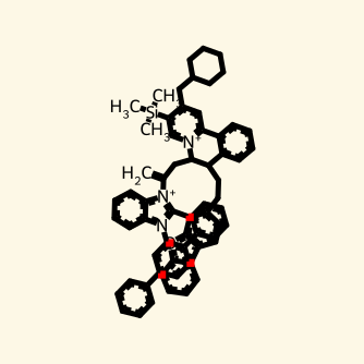 C=C1CC2C(CCc3ccc4c(oc5ccccc54)c3-c3n(-c4cc(-c5ccccc5)ccc4-c4ccccc4)c4ccccc4[n+]31)c1ccccc1-c1cc(CC3CCCCC3)c([Si](C)(C)C)c[n+]12